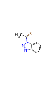 CC(=S)n1nnc2ccccc21